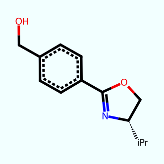 CC(C)[C@H]1COC(c2ccc(CO)cc2)=N1